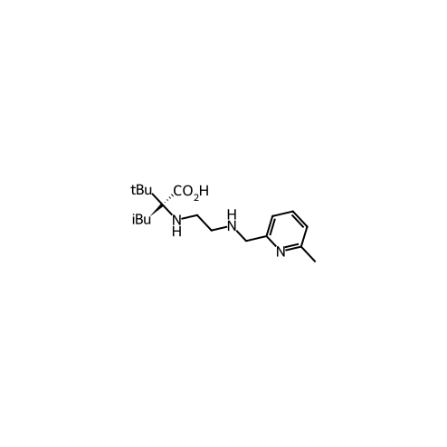 CC[C@H](C)[C@@](NCCNCc1cccc(C)n1)(C(=O)O)C(C)(C)C